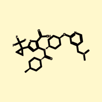 CN(C)Cc1ccnc(O[C@H]2CC[C@H](N(c3cc(C4(C(F)(F)F)CC4)sc3C(=O)O)C(=O)[C@H]3CC[C@H](C)CC3)CC2)c1